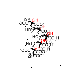 O=C(O)CC(O)(CC(=O)O)C(=O)O.O=C(O)CC(O)(CC(=O)O)C(=O)O.O=C(O)CC(O)(CC(=O)O)C(=O)O.O=C([O-])CC(O)(CC(=O)[O-])C(=O)[O-].O=C([O-])CC(O)(CC(=O)[O-])C(=O)[O-].[Zn+2].[Zn+2].[Zn+2]